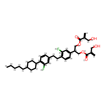 C=C(CO)C(=O)OCC(COC(=O)C(=C)CO)c1ccc(CCc2ccc(C3CCC(CCCCC)CC3)c(F)c2)c(F)c1